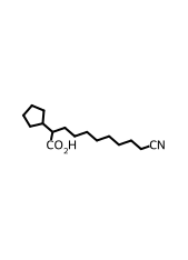 N#CCCCCCCCCC(C(=O)O)C1CCCC1